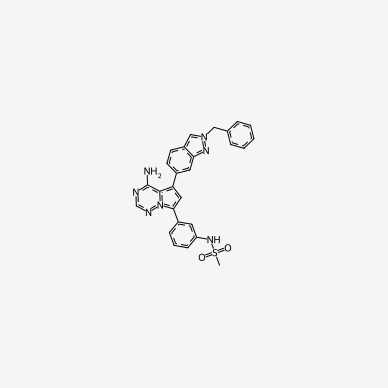 CS(=O)(=O)Nc1cccc(-c2cc(-c3ccc4cn(Cc5ccccc5)nc4c3)c3c(N)ncnn23)c1